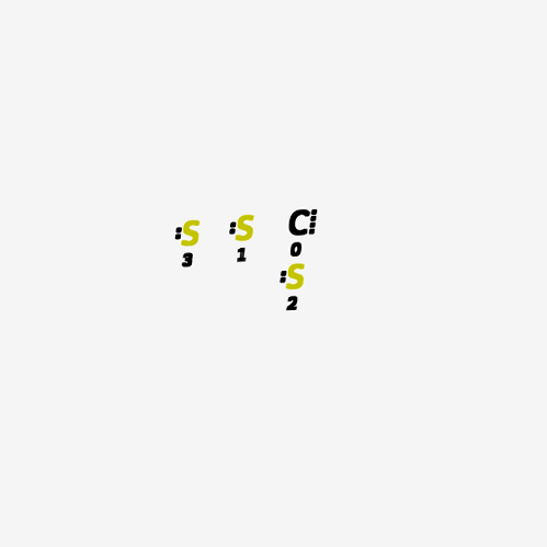 [C].[S].[S].[S]